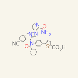 N#Cc1ccc(Cn2cncc2CN(C(=O)C2CCCCC2)c2ccc(-c3ccc(C(=O)O)s3)cc2)cc1.NC(=O)c1ccccn1